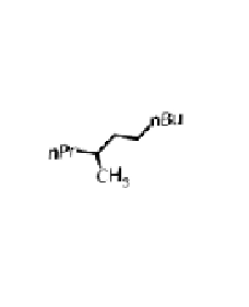 CC[CH]CCCC(C)CCC